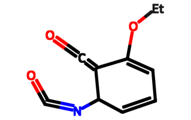 CCOC1=CC=CC(N=C=O)C1=C=O